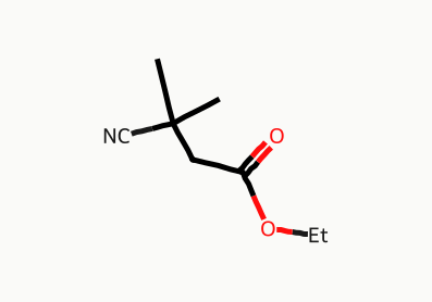 CCOC(=O)CC(C)(C)C#N